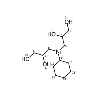 OCC(O)CN(CC(O)CO)C1CCCCC1